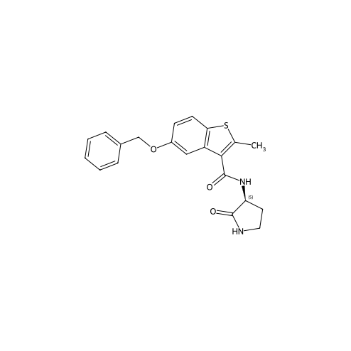 Cc1sc2ccc(OCc3ccccc3)cc2c1C(=O)N[C@H]1CCNC1=O